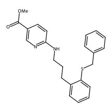 COC(=O)c1ccc(NCCCc2ccccc2SCc2ccccc2)nc1